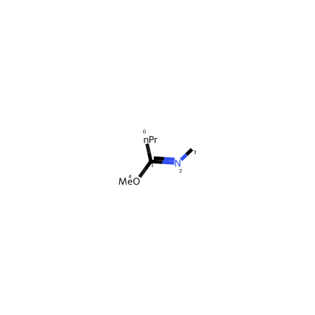 CCC/C(=N\C)OC